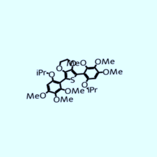 COc1cc(OC(C)C)c(-c2sc(-c3c(OC(C)C)cc(OC)c(OC)c3OC)c3c2OCCO3)c(OC)c1OC